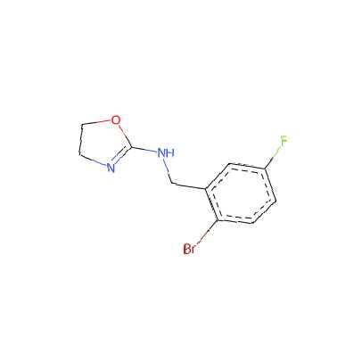 Fc1ccc(Br)c(CNC2=NCCO2)c1